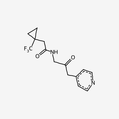 O=C(CNC(=O)CC1(C(F)(F)F)CC1)Cc1ccncc1